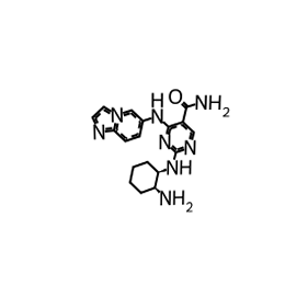 NC(=O)c1cnc(N[C@@H]2CCCC[C@@H]2N)nc1Nc1ccc2nccn2c1